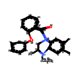 CCOC(=O)N1c2cc(C)c(C)cc2N(C(=O)c2ccccc2Oc2ccccc2)CC1CC